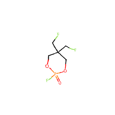 O=P1(F)OCC(CF)(CF)CO1